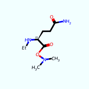 CCN[C@@H](CCC(N)=O)C(=O)ON(C)C